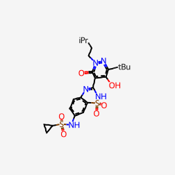 CC(C)CCn1nc(C(C)(C)C)c(O)c(C2=Nc3ccc(NS(=O)(=O)C4CC4)cc3S(=O)(=O)N2)c1=O